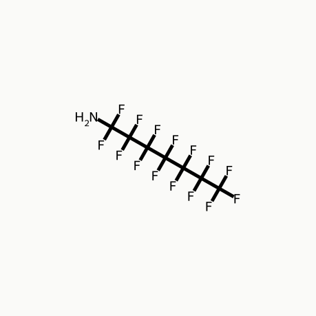 NC(F)(F)C(F)(F)C(F)(F)C(F)(F)C(F)(F)C(F)(F)C(F)(F)F